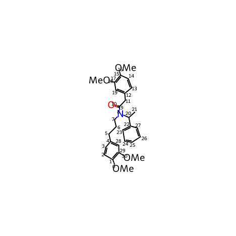 COc1ccc(CCCN(C(=O)Cc2ccc(OC)c(OC)c2)C(C)c2ccccc2)cc1OC